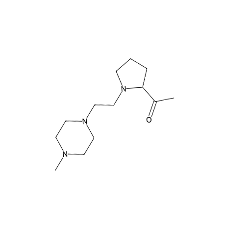 CC(=O)C1CCCN1CCN1CCN(C)CC1